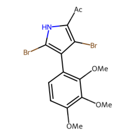 COc1ccc(-c2c(Br)[nH]c(C(C)=O)c2Br)c(OC)c1OC